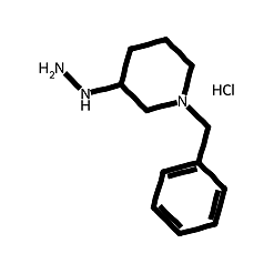 Cl.NNC1CCCN(Cc2ccccc2)C1